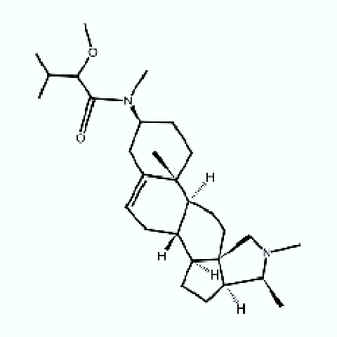 COC(C(=O)N(C)[C@H]1CC[C@@]2(C)C(=CC[C@H]3[C@@H]4CC[C@@H]5[C@H](C)N(C)C[C@@]54CC[C@@H]32)C1)C(C)C